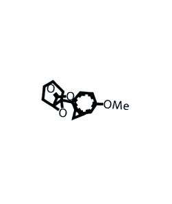 COc1ccc(C23CCCCC2(C(=O)OC2CC2)O3)cc1